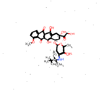 COc1cccc2c1C(=O)c1c(O)c3c(c(O)c1C2=O)C[C@@](O)(C(=O)CO)C[C@@H]3OC1CC(N[Si](C)(C)C(C)(C)C)C(O)C(C)O1